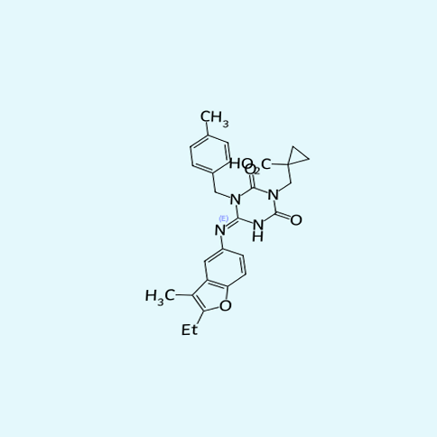 CCc1oc2ccc(/N=c3\[nH]c(=O)n(CC4(C(=O)O)CC4)c(=O)n3Cc3ccc(C)cc3)cc2c1C